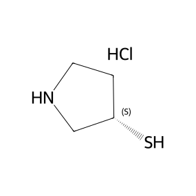 Cl.S[C@H]1CCNC1